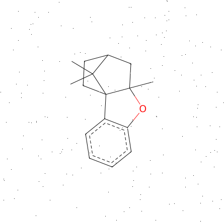 CC12CC3CCC1(c1ccccc1O2)C3(C)C